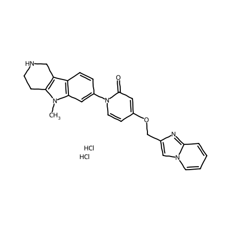 Cl.Cl.Cn1c2c(c3ccc(-n4ccc(OCc5cn6ccccc6n5)cc4=O)cc31)CNCC2